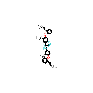 CC=Cc1ccccc1Oc1ccc(C(F)(F)C(F)(c2ccc(Oc3ccccc3C=CC)c(C)c2)C(F)(F)F)cc1C